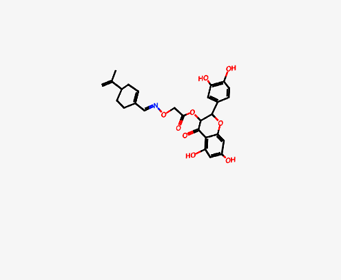 C=C(C)C1CC=C(C=NOCC(=O)OC2C(=O)c3c(O)cc(O)cc3OC2c2ccc(O)c(O)c2)CC1